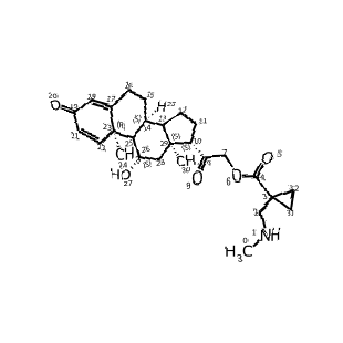 CNCC1(C(=O)OCC(=O)[C@H]2CCC3[C@@H]4CCC5=CC(=O)C=C[C@]5(C)C4[C@@H](O)C[C@@]32C)CC1